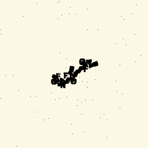 C#CCN(C)C(=O)/C(F)=C/C=C/CN(CC#C)C(=O)/C(F)=C/C1CN(C(=O)C(=C)F)C=N1